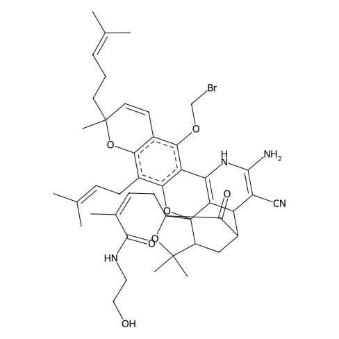 CC(C)=CCCC1(C)C=Cc2c(c(CC=C(C)C)c3c(c2OCBr)C2=C4C(C(C#N)=C(N)N2)C2CC5C(C)(C)OC(C/C=C(/C)C(=O)NCCO)(C2=O)C45O3)O1